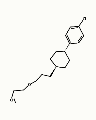 CCCOCCC[C@H]1CC[C@H](c2ccc(Cl)cc2)CC1